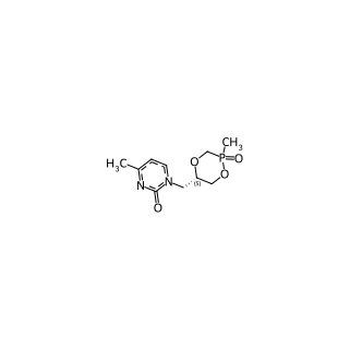 Cc1ccn(C[C@H]2COP(C)(=O)CO2)c(=O)n1